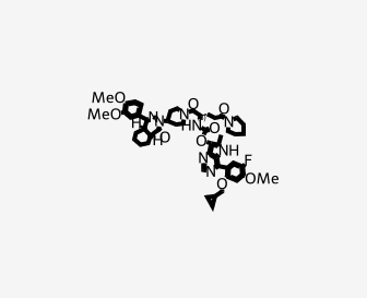 COc1cc(OCC2CC2)c(-c2ncnc3c(OC(=O)N[C@@H](CCC(=O)N4CCCCC4)C(=O)N4CCC(N5N=C(c6ccc(OC)c(OC)c6)[C@H]6CCCC[C@H]6C5=O)CC4)c(C)[nH]c23)cc1F